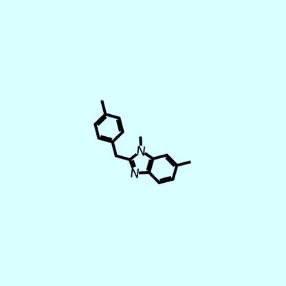 Cc1ccc(Cc2nc3ccc(C)cc3n2C)cc1